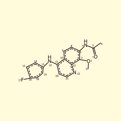 COc1c(NC(C)=O)ccc2c(Nc3ccc(F)cc3)ccnc12